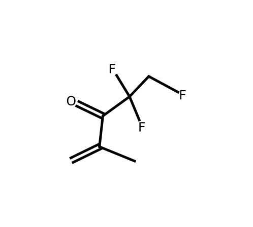 C=C(C)C(=O)C(F)(F)CF